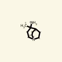 CC1(N)CCN2CCC1CC2